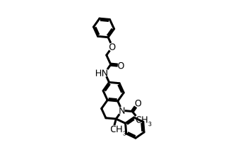 CC(=O)N1c2ccc(NC(=O)COc3ccccc3)cc2CCC1(C)c1ccccc1